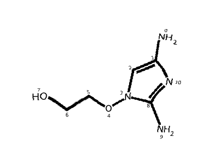 Nc1cn(OCCO)c(N)n1